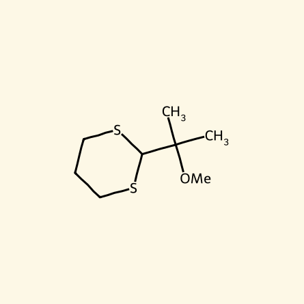 COC(C)(C)C1SCCCS1